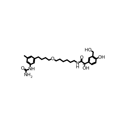 Cc1cc(CCCCOCCCCCCNC(=O)[C@H](O)c2ccc(O)c(CO)c2)cc(NC(N)=O)c1